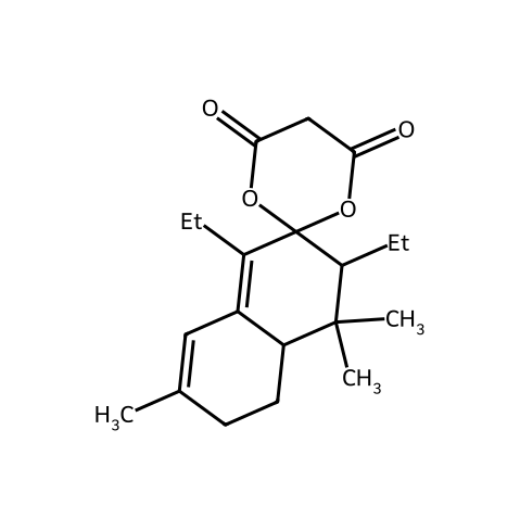 CCC1=C2C=C(C)CCC2C(C)(C)C(CC)C12OC(=O)CC(=O)O2